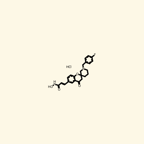 Cl.O=C(C=Cc1ccc2c(c1)C(=O)CC1(CCCN(Cc3ccc(F)cc3)C1)O2)NO